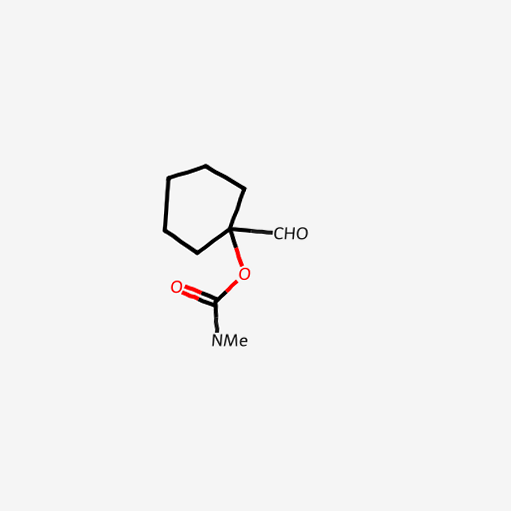 CNC(=O)OC1(C=O)CCCCC1